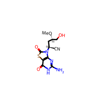 CO[C@H](CO)C[C@@H](C#N)n1c(=O)sc2c(=O)[nH]c(N)nc21